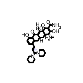 CN(C)[C@@H]1C(O)=C(C(N)=O)C(=O)[C@@]2(O)C(O)=C3C(=O)c4c(O)ccc(/C=C/C(N5CCCCC5)=[N+]5CCCCC5)c4C[C@H]3C[C@@H]12